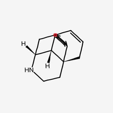 C1=CC[C@]23CCN[C@H](Cc4ccccc42)[C@@H]3C1